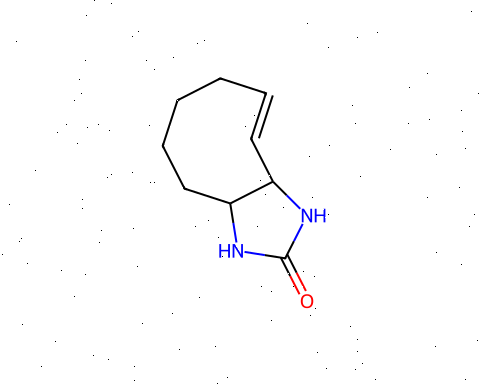 O=C1NC2/C=C/CCCCC2N1